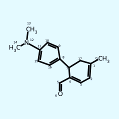 CC1=CC=C(C=O)C(c2ccc(N(C)C)cc2)C1